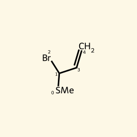 [CH2]SC(Br)C=C